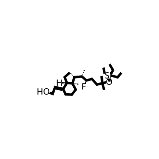 CC[Si](CC)(CC)OC(C)(C)CC[C@H](F)[C@@H](C)[C@H]1CC[C@H]2C(=CCO)CCC[C@]12C